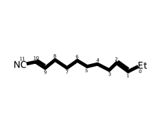 CC/C=C/CCCCCC/C=C/C#N